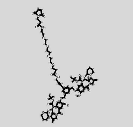 C=C1C[C@H]2[C@H](OC3CCCCO3)N(C(=O)OC(C)(C)C)c3cc(OCc4cc(C#CCNC(=O)CCOCCOCCOCCOCCNC(=O)CCN5C(=O)C=CC5=O)cc(COc5cc6c(cc5OC)C(=O)N5CC(=C)C[C@H]5[C@H](OC5CCCCO5)N6C(=O)OC(C)(C)C)c4)c(OC)cc3C(=O)N2C1